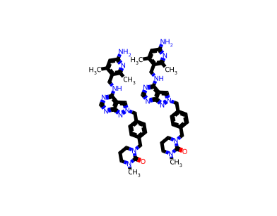 Cc1cc(N)nc(C)c1CNc1ncnc2nn(Cc3ccc(CN4CCCN(C)C4=O)cc3)cc12.Cc1cc(N)nc(C)c1CNc1ncnc2nn(Cc3ccc(CN4CCCN(C)C4=O)cc3)cc12